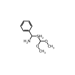 COC(OC)[SiH2]C(N)c1ccccc1